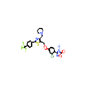 O=c1[nH]c(-c2ccc(OCc3sc(-c4ccc(C(F)(F)F)cc4)nc3CN3CCCCC3)cc2Cl)no1